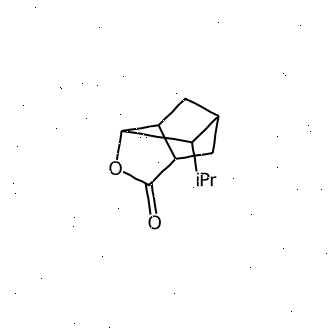 CC(C)C1C2CC3C(=O)OC1C3C2